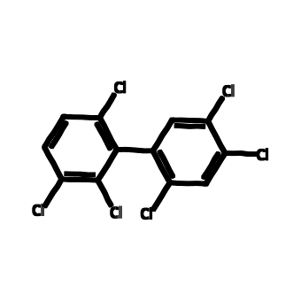 Clc1cc(Cl)c(-c2c(Cl)ccc(Cl)c2Cl)cc1Cl